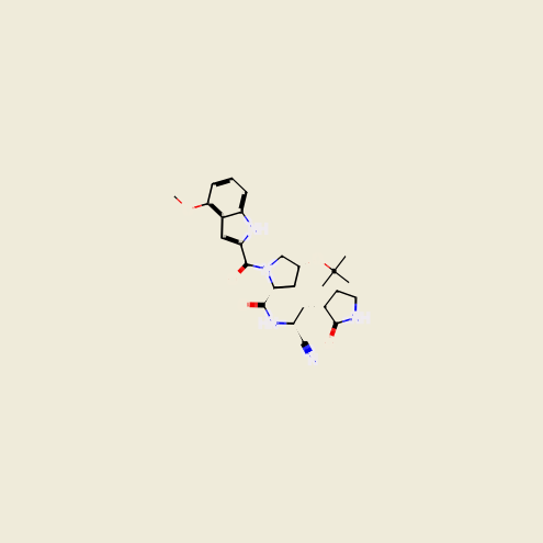 COc1cccc2[nH]c(C(=O)N3C[C@H](OC(C)(C)C)C[C@H]3C(=O)N[C@H](C#N)C[C@@H]3CCNC3=O)cc12